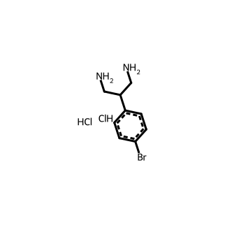 Cl.Cl.NCC(CN)c1ccc(Br)cc1